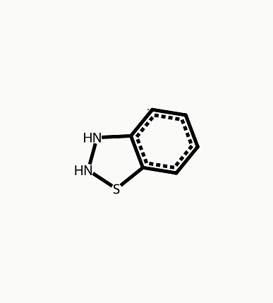 [c]1cccc2c1NNS2